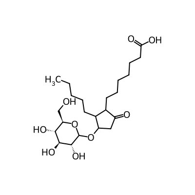 CCCCCC1C(OC2O[C@H](CO)[C@@H](O)[C@H](O)[C@H]2O)CC(=O)C1CCCCCCC(=O)O